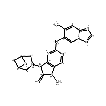 Cc1cc2ncnn2cc1Nc1ncc2c(n1)n(N1CC3CC(C1)O3)c(=O)n2C